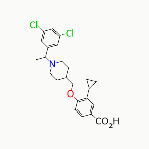 CC(c1cc(Cl)cc(Cl)c1)N1CCC(COc2ccc(C(=O)O)cc2C2CC2)CC1